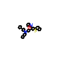 c1ccc(-c2ccc(N(c3ccc(-c4cc5sc6c7ccccc7ccc6c5cc4-c4nc5ccccc5o4)cc3)c3ccc4ccccc4c3)cc2)cc1